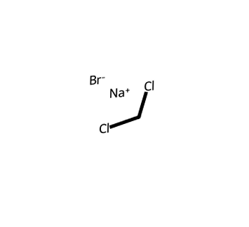 ClCCl.[Br-].[Na+]